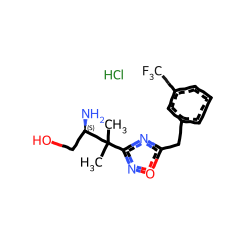 CC(C)(c1noc(Cc2cccc(C(F)(F)F)c2)n1)[C@H](N)CO.Cl